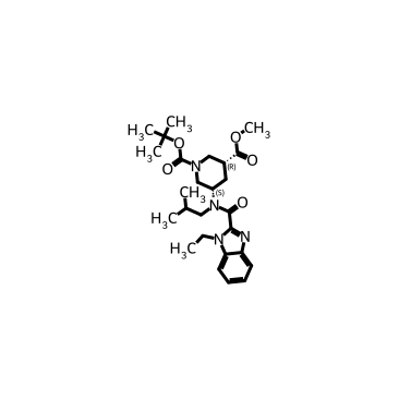 CCn1c(C(=O)N(CC(C)C)[C@H]2C[C@@H](C(=O)OC)CN(C(=O)OC(C)(C)C)C2)nc2ccccc21